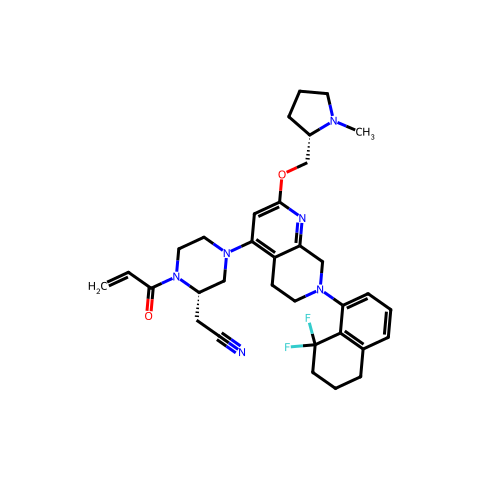 C=CC(=O)N1CCN(c2cc(OC[C@@H]3CCCN3C)nc3c2CCN(c2cccc4c2C(F)(F)CCC4)C3)C[C@@H]1CC#N